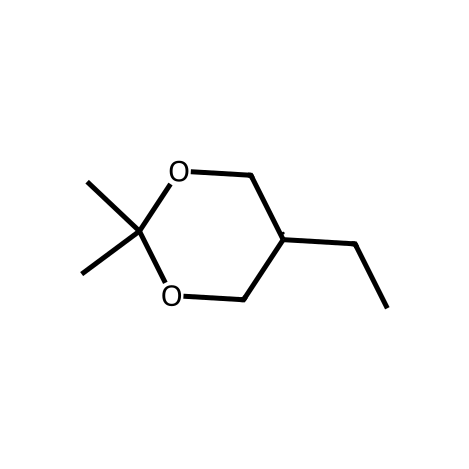 CC[C]1COC(C)(C)OC1